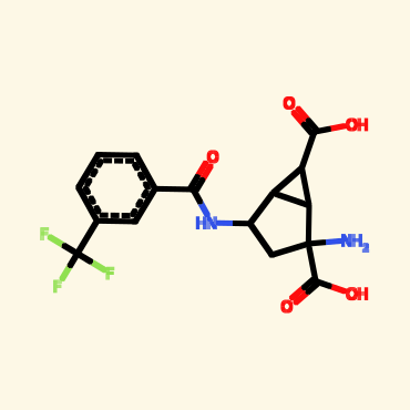 NC1(C(=O)O)CC(NC(=O)c2cccc(C(F)(F)F)c2)C2C(C(=O)O)C21